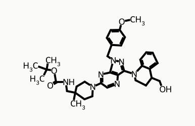 COc1ccc(Cn2nc(N3CCC(CO)c4ccccc43)c3ncc(N4CCC(C)(CNC(=O)OC(C)(C)C)CC4)nc32)cc1